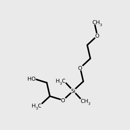 COCCOC[Si](C)(C)OC(C)CO